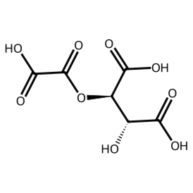 O=C(O)C(=O)O[C@@H](C(=O)O)[C@@H](O)C(=O)O